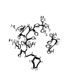 CCOC(=O)[C@H](CCc1ccccc1)N[C@@H](C)C(=O)N1C(=O)N(C)C[C@H]1C(=O)OC(C)(C)C.O=C(O)/C=C\C(=O)O